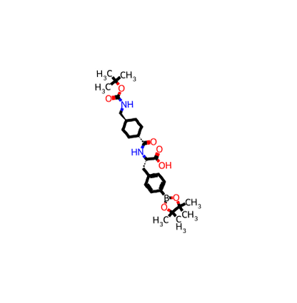 CC(C)(C)OC(=O)NC[C@H]1CC[C@H](C(=O)N[C@@H](Cc2ccc(B3OC(C)(C)C(C)(C)O3)cc2)C(=O)O)CC1